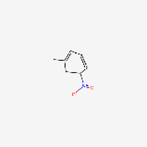 CC1=CC=CC([N+](=O)[O-])C1